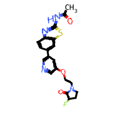 CC(=O)Nc1nc2ccc(-c3cncc(OCCN4CCC(F)C4=O)c3)cc2s1